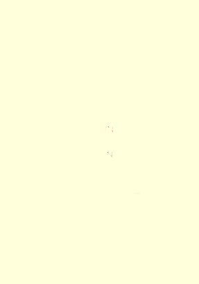 C/C(=N\NC(=O)c1ccccc1)c1cc(C)ccc1O